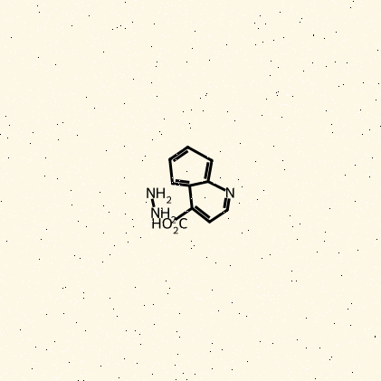 NN.O=C(O)c1ccnc2ccccc12